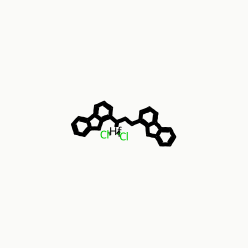 [Cl][Hf]([Cl])[CH](CCc1cccc2c1Cc1ccccc1-2)c1cccc2c1Cc1ccccc1-2